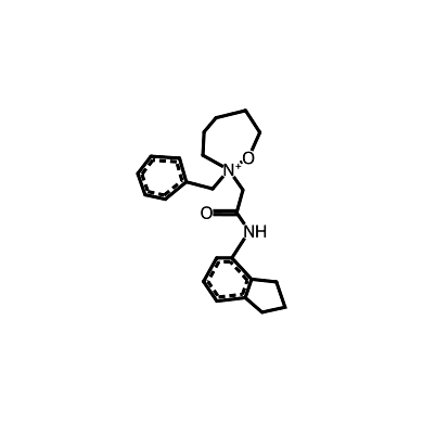 O=C(C[N+]1(Cc2ccccc2)CCCCCO1)Nc1cccc2c1CCC2